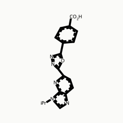 CC(C)n1cnc2ccc(-c3nnc(-c4ccc(C(=O)O)cc4)o3)nc21